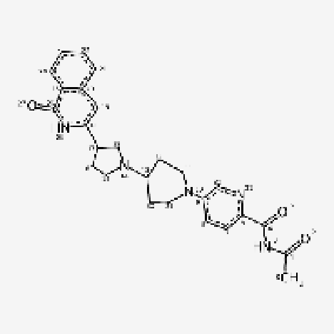 CC(=O)NC(=O)c1ccc(N2CCC(N3CCC(c4cc5ccccc5c(=O)[nH]4)C3)CC2)cn1